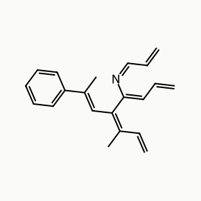 C=C\C=N/C(=C\C=C)C(/C=C(\C)c1ccccc1)=C(/C)C=C